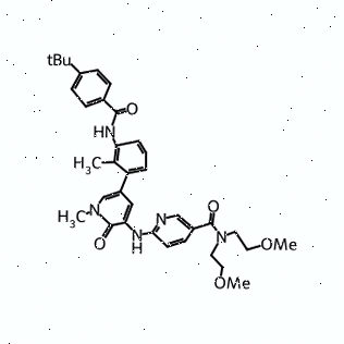 COCCN(CCOC)C(=O)c1ccc(Nc2cc(-c3cccc(NC(=O)c4ccc(C(C)(C)C)cc4)c3C)cn(C)c2=O)nc1